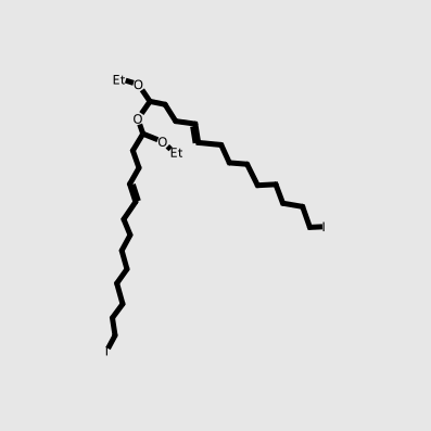 CCOC(CCC=CCCCCCCCCI)OC(CCC=CCCCCCCCCI)OCC